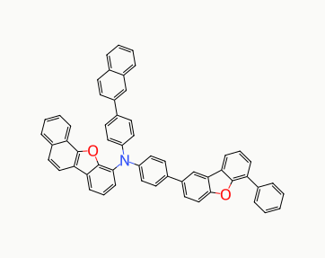 c1ccc(-c2cccc3c2oc2ccc(-c4ccc(N(c5ccc(-c6ccc7ccccc7c6)cc5)c5cccc6c5oc5c7ccccc7ccc65)cc4)cc23)cc1